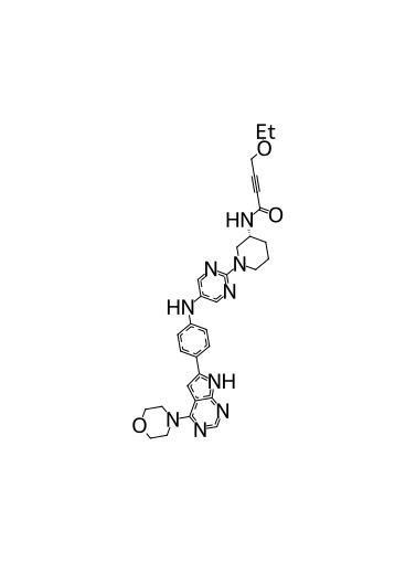 CCOCC#CC(=O)N[C@@H]1CCCN(c2ncc(Nc3ccc(-c4cc5c(N6CCOCC6)ncnc5[nH]4)cc3)cn2)C1